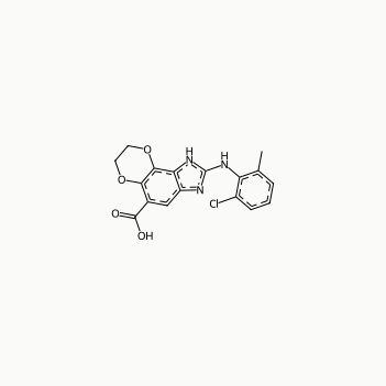 Cc1cccc(Cl)c1Nc1nc2cc(C(=O)O)c3c(c2[nH]1)OCCO3